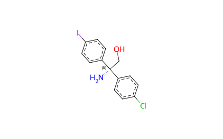 N[C@](CO)(c1ccc(Cl)cc1)c1ccc(I)cc1